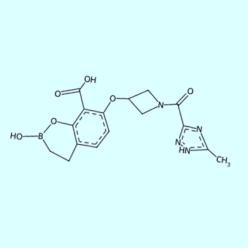 Cc1nc(C(=O)N2CC(Oc3ccc4c(c3C(=O)O)OB(O)CC4)C2)n[nH]1